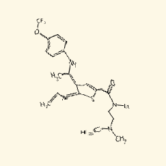 C=C/N=C1/SC(C(=O)N(CC)CCN(C)C)=C/C1=C(/C)Nc1ccc(OC(F)(F)F)cc1